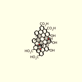 O=C(O)C1=C2C=C3C(C(=O)O)CC4C5C=CCC6C7=C8C=CCC9=C8C8(O)c%10c%11c(c(C(=O)O)c%12c%10=C%10C%13(O)C8C7(O)C78OC7(C65)C5(O)C4(O)C3C3=C2C(=CC1)C1=C2C(C=C(O)C1)C14OC16CC(O)=CC1(OC16C%13C8C4C5(O)C32O)C%10(O)C(O)=C%12)=CC(C(=O)O)C=C9%11